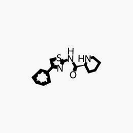 O=C(Nc1nc(-c2ccccc2)cs1)[C@@H]1CCCCN1